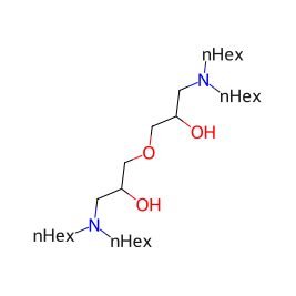 CCCCCCN(CCCCCC)CC(O)COCC(O)CN(CCCCCC)CCCCCC